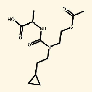 CC(=O)SCCN(CCC1CC1)C(=O)NC(C)C(=O)O